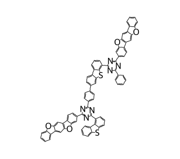 c1ccc(-c2nc(-c3ccc4c(c3)oc3cc5c(cc34)oc3ccccc35)nc(-c3cccc4c3sc3cc(-c5ccc(-c6nc(-c7ccc8c(c7)oc7cc9c(cc78)oc7ccccc79)nc(-c7cccc8sc9ccccc9c78)n6)cc5)ccc34)n2)cc1